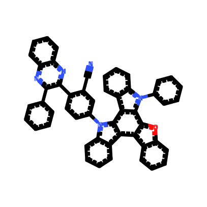 N#Cc1cc(-n2c3ccccc3c3c4c5ccccc5oc4c4c(c5ccccc5n4-c4ccccc4)c32)ccc1-c1nc2ccccc2nc1-c1ccccc1